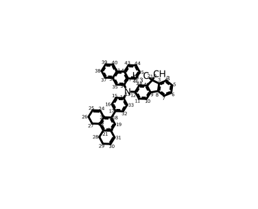 CC1(C)c2ccccc2-c2ccc(N(c3ccc(-c4cc5c(c6c4C=CCC6)CCC=C5)cc3)c3cc4ccccc4c4ccccc34)cc21